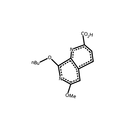 CCCCOc1nc(OC)cc2ccc(C(=O)O)nc12